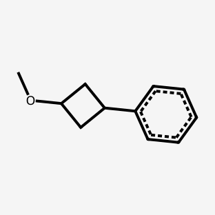 COC1CC(c2ccccc2)C1